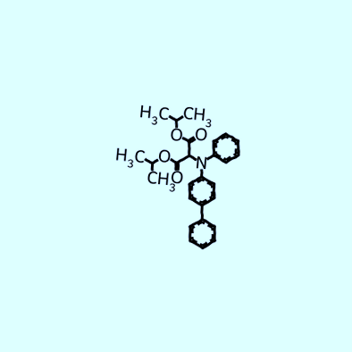 CC(C)OC(=O)C(C(=O)OC(C)C)N(c1ccccc1)c1ccc(-c2ccccc2)cc1